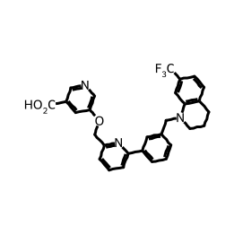 O=C(O)c1cncc(OCc2cccc(-c3cccc(CN4CCCc5ccc(C(F)(F)F)cc54)c3)n2)c1